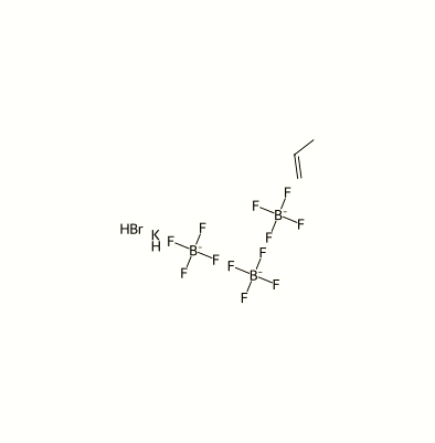 Br.C=CC.F[B-](F)(F)F.F[B-](F)(F)F.F[B-](F)(F)F.[KH]